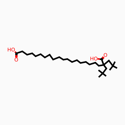 CC(C)(C)CC(CCCCCCCCCCCCCCCCCCC(=O)O)(CC(C)(C)C)C(=O)O